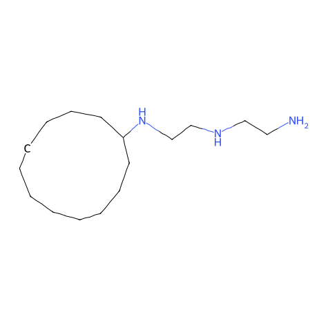 NCCNCCNC1CCCCCCCCCCC1